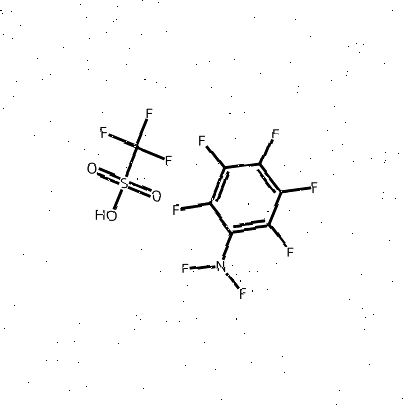 Fc1c(F)c(F)c(N(F)F)c(F)c1F.O=S(=O)(O)C(F)(F)F